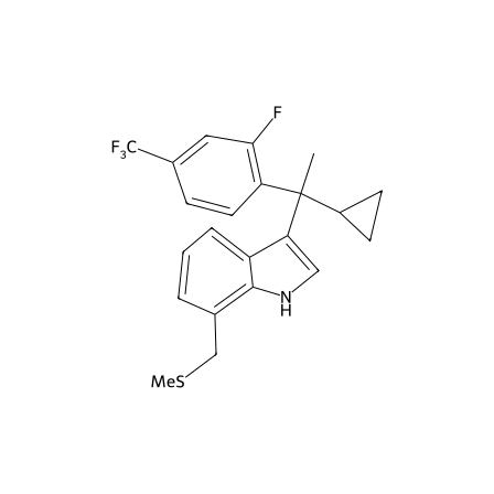 CSCc1cccc2c(C(C)(c3ccc(C(F)(F)F)cc3F)C3CC3)c[nH]c12